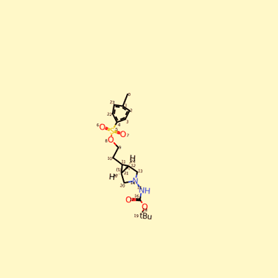 Cc1ccc(S(=O)(=O)OCCC2[C@H]3CN(NC(=O)OC(C)(C)C)C[C@@H]23)cc1